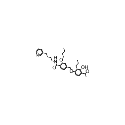 CCCCOc1cc(COc2ccc(C(C)=O)c(O)c2CCC)ccc1C(=O)NCCCCc1cccnc1